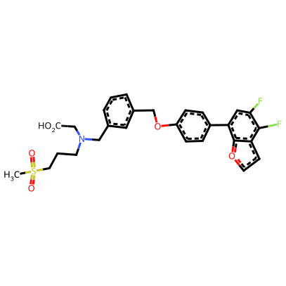 CS(=O)(=O)CCCN(CC(=O)O)Cc1cccc(COc2ccc(-c3cc(F)c(F)c4ccoc34)cc2)c1